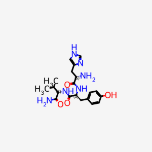 CC(C)[C@H](NC(=O)[C@H](Cc1ccc(O)cc1)NC(=O)[C@@H](N)Cc1c[nH]cn1)C(N)=O